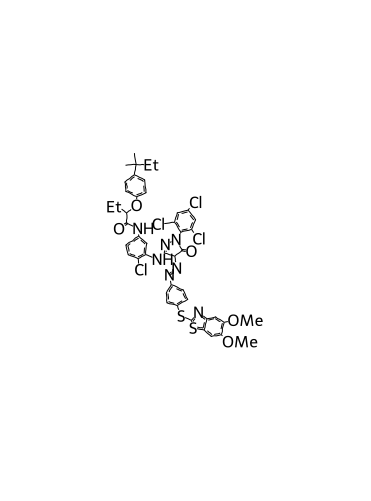 CCC(Oc1ccc(C(C)(C)CC)cc1)C(=O)Nc1ccc(Cl)c(NC2=NN(c3c(Cl)cc(Cl)cc3Cl)C(=O)C2N=Nc2ccc(Sc3nc4cc(OC)c(OC)cc4s3)cc2)c1